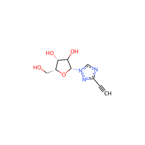 C#Cc1ncn([C@@H]2O[C@H](CO)[C@H](O)C2O)n1